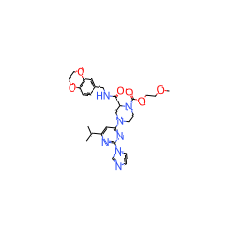 COCCOC(=O)N1CCN(c2cc(C(C)C)nc(-n3ccnc3)n2)CC1C(=O)NCc1ccc2c(c1)OCCO2